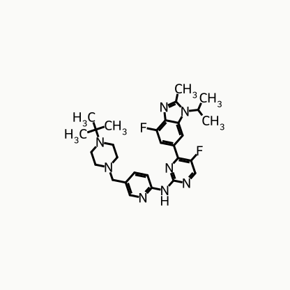 Cc1nc2c(F)cc(-c3nc(Nc4ccc(CN5CCN(C(C)(C)C)CC5)cn4)ncc3F)cc2n1C(C)C